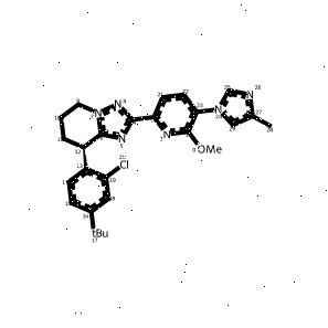 COc1nc(-c2nc3n(n2)CCC[C@@H]3c2ccc(C(C)(C)C)cc2Cl)ccc1-n1cnc(C)c1